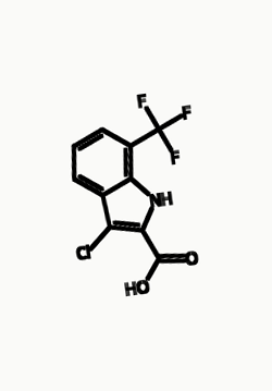 O=C(O)c1[nH]c2c(C(F)(F)F)cccc2c1Cl